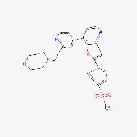 CS(=O)(=O)c1ccc(-c2cc3nccc(-c4ccnc(CN5CCOCC5)c4)c3o2)cc1